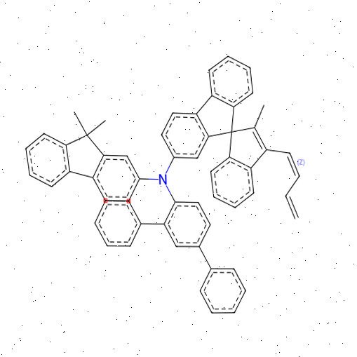 C=C/C=C\C1=C(C)C2(c3ccccc31)c1ccccc1-c1ccc(N(c3ccc4c(c3)C(C)(C)c3ccccc3-4)c3ccc(-c4ccccc4)cc3-c3ccccc3)cc12